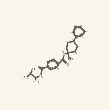 CCCC(CC)C(C)OC(=O)c1ccc(C(=O)OC2(CCC)CCC(c3ccccc3)CC2)cc1